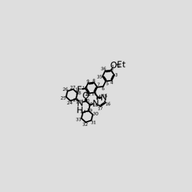 CCOc1ccc(Cc2ccc(F)cc2-c2nccn2C(C(=O)NC2CCCCC2)C2CCCCC2)cc1